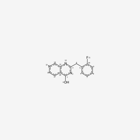 Oc1nc(Cc2ccccc2F)nc2cnccc12